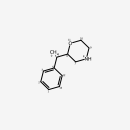 C.c1ccc(CC2CNCCO2)cc1